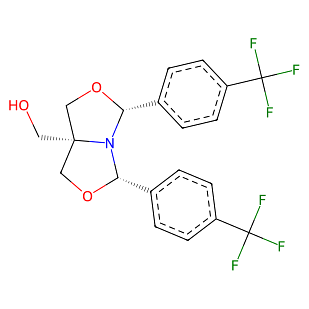 OC[C@]12CO[C@H](c3ccc(C(F)(F)F)cc3)N1[C@H](c1ccc(C(F)(F)F)cc1)OC2